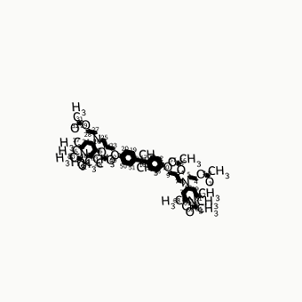 CC(=O)OCCN(CC(COc1ccc(C(C)(C)c2ccc(OCC(CN(CCOC(C)=O)C3CC(C)(C)N(C(C)=O)C(C)(C)C3)OC(C)=O)cc2)cc1)OC(C)=O)C1CC(C)(C)N(C(C)=O)C(C)(C)C1